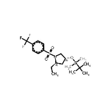 CC[C@@H]1C[C@@H](O[Si](C)(C)C(C)(C)C)CN1S(=O)(=O)c1ccc(C(F)(F)F)cc1